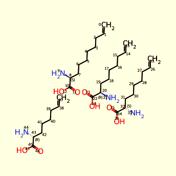 C=CCCCCCC[C@H](N)C(=O)O.C=CCCCCC[C@@H](N)C(=O)O.C=CCCCCC[C@H](N)C(=O)O.C=CCCCC[C@@H](N)C(=O)O